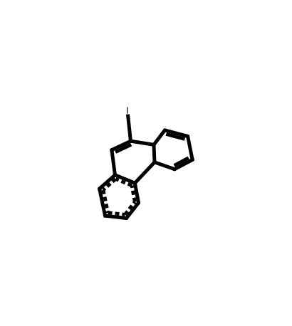 IC1=Cc2ccccc2C2C=CC=CC12